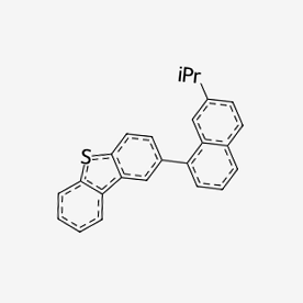 CC(C)c1ccc2cccc(-c3ccc4sc5ccccc5c4c3)c2c1